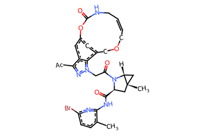 CC(=O)c1nn(CC(=O)N2[C@H](C(=O)Nc3nc(Br)ccc3C)C[C@@]3(C)C[C@@H]23)c2c3cc(cc12)OC(=O)NC/C=C\COC3